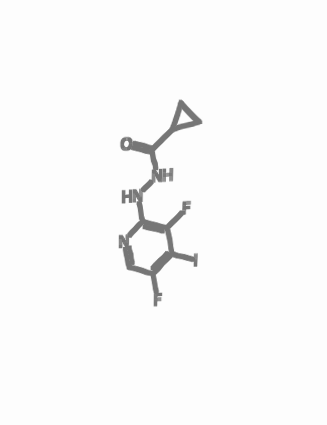 O=C(NNc1ncc(F)c(I)c1F)C1CC1